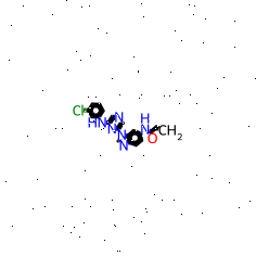 C=CC(=O)Nc1ccc2ncn(-c3cncc(Nc4cccc(Cl)c4)n3)c2c1